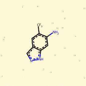 Nc1cc2[nH]ncc2cc1C(F)(F)F